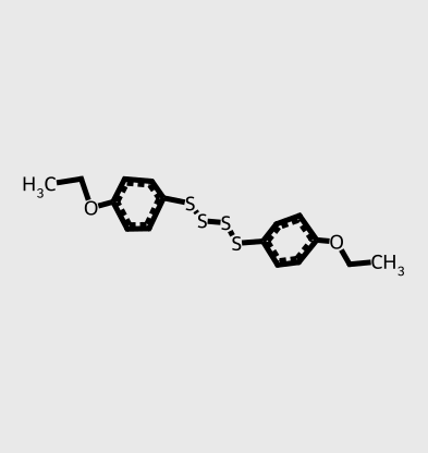 CCOc1ccc(SSSSc2ccc(OCC)cc2)cc1